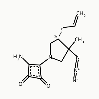 C=CC[C@H]1CN(c2c(N)c(=O)c2=O)CC1(C)N=[N+]=[N-]